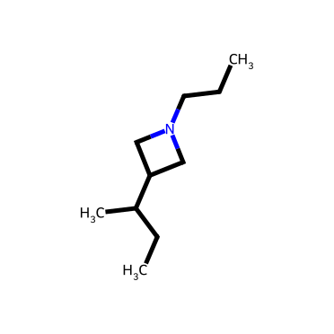 CCCN1CC(C(C)CC)C1